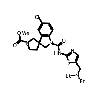 CCN(CC)Cc1cnc(NC(=O)N2CC3(CCN(C(=O)OC)C3)c3cc(Cl)ccc32)s1